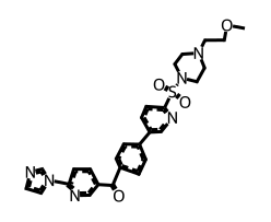 COCCN1CCN(S(=O)(=O)c2ccc(-c3ccc(C(=O)c4ccc(-n5ccnc5)nc4)cc3)cn2)CC1